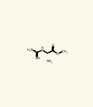 COC(=O)CNC(=N)N.N